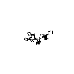 C=C(CC)O[PH](=O)C1COC(=O)O1